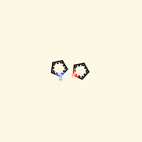 [c]1ccc[nH]1.[c]1ccoc1